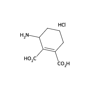 Cl.NC1CCCC(C(=O)O)=C1C(=O)O